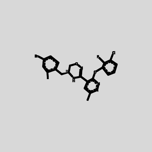 Cc1cc(C2=NOC[C@H](Cc3ccc(Br)cc3C)N2)c(Oc2cccc(Cl)c2F)nn1